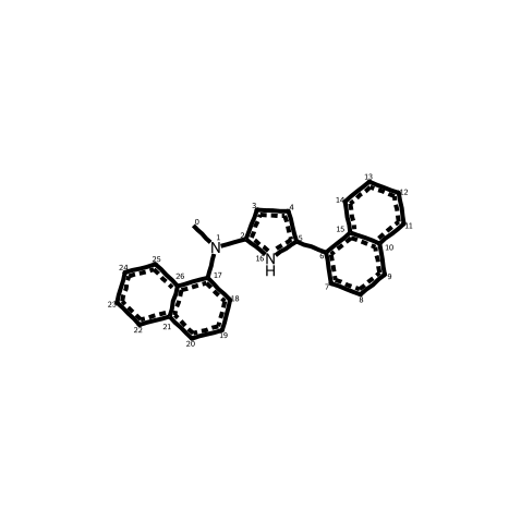 CN(c1ccc(-c2cccc3ccccc23)[nH]1)c1cccc2ccccc12